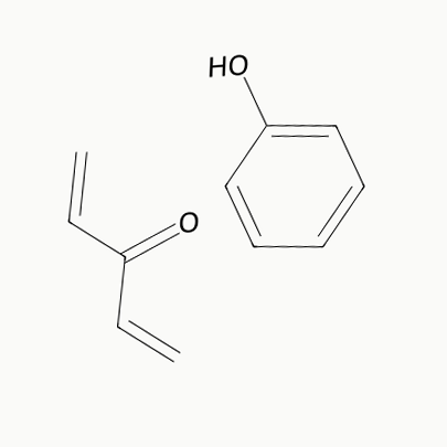 C=CC(=O)C=C.Oc1ccccc1